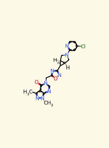 Cc1nn(C)c2ncn(Cc3nc(C4[C@H]5CN(c6cc(Cl)ccn6)C[C@@H]45)no3)c(=O)c12